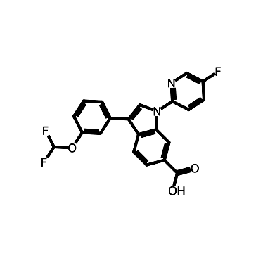 O=C(O)c1ccc2c(-c3cccc(OC(F)F)c3)cn(-c3ccc(F)cn3)c2c1